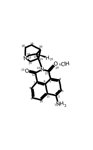 Cl.Nc1ccc2c3c(cccc13)C(=O)N([C@@H]1CN3CCC1CC3)C2=O